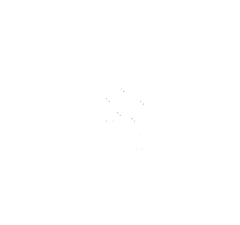 CCCCn1c(NC(=O)c2ccc(C)cc2)c(C#N)c2nc3cc(C)c(C)cc3nc21